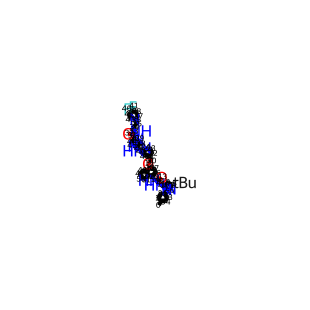 Cc1ccc(-n2nc(C(C)(C)C)cc2NC(=O)Nc2ccc(OCc3ccnc(Nc4cnc(C(=O)NCCN5CCC(F)(F)CC5)cn4)c3)c3ccccc23)cc1